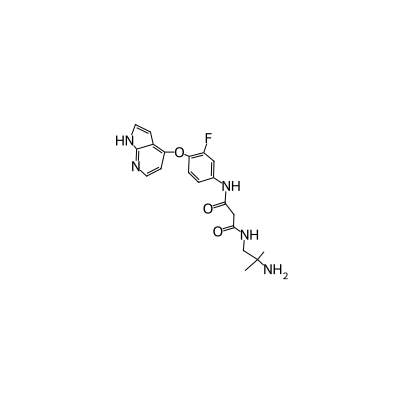 CC(C)(N)CNC(=O)CC(=O)Nc1ccc(Oc2ccnc3[nH]ccc23)c(F)c1